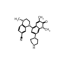 Cc1cc2c(N3CCN(C)c4ccc(C#N)cc43)cc(N3CCNCC3)cc2n(C)c1=O